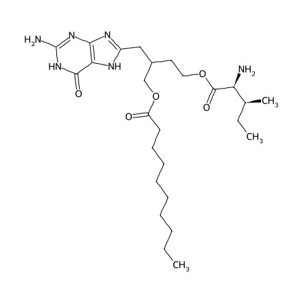 CCCCCCCCCC(=O)OCC(CCOC(=O)[C@@H](N)[C@@H](C)CC)Cc1nc2nc(N)[nH]c(=O)c2[nH]1